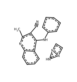 Cc1nc2ccccc2c(Nc2ccccc2)c1C#N.c1cn2[nH]n12